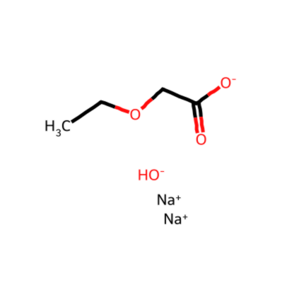 CCOCC(=O)[O-].[Na+].[Na+].[OH-]